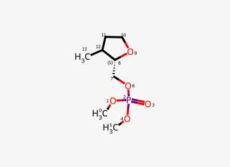 COP(=O)(OC)OC[C@H]1OCCC1C